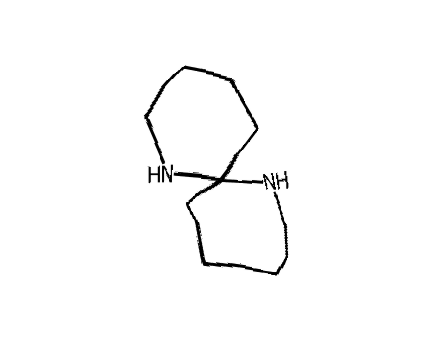 C1CCC2(CCCCN2)NC1